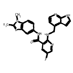 Cn1c(C(F)(F)F)nc2cc(NC(=O)c3cc(F)cnc3NCc3ccnc4[nH]ccc34)ccc21